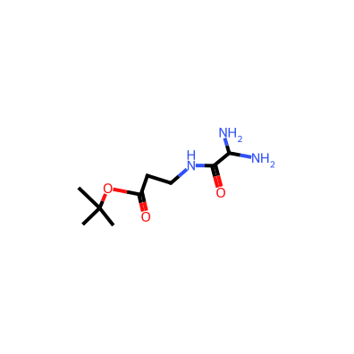 CC(C)(C)OC(=O)CCNC(=O)C(N)N